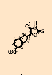 CC(C)(C)c1ccc2c(c1)S/C(=C1\OC(=S)NC1=O)S2